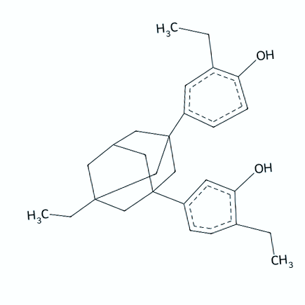 CCc1ccc(C23CC4CC(CC)(C2)CC(c2ccc(O)c(CC)c2)(C4)C3)cc1O